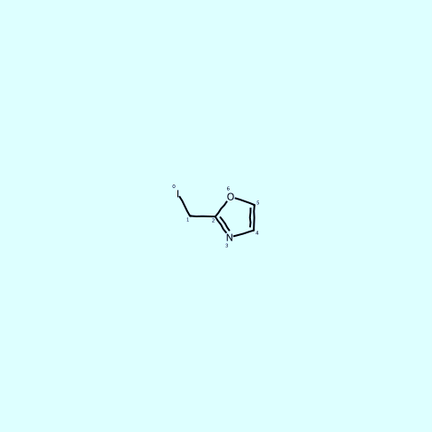 ICc1ncco1